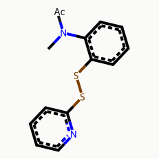 CC(=O)N(C)c1ccccc1SSc1ccccn1